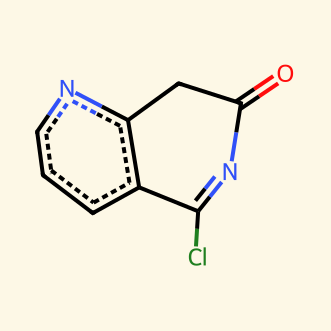 O=C1Cc2ncccc2C(Cl)=N1